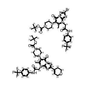 Cc1c(N2CCN(C(=O)OC(C)(C)C)CC2)c(=O)n2nc(Br)nc2n1CC(=O)Nc1ccc(C(F)(F)F)cc1.Cc1c(N2CCN(C(=O)OC(C)(C)C)CC2)c(=O)n2nc(C3=CCOCC3)nc2n1CC(=O)Nc1ccc(C(F)(F)F)cc1